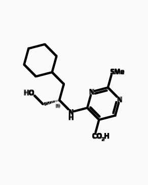 CSc1ncc(C(=O)O)c(N[C@H](CO)CC2CCCCC2)n1